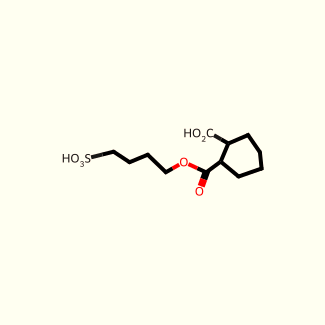 O=C(O)C1CCCCC1C(=O)OCCCCS(=O)(=O)O